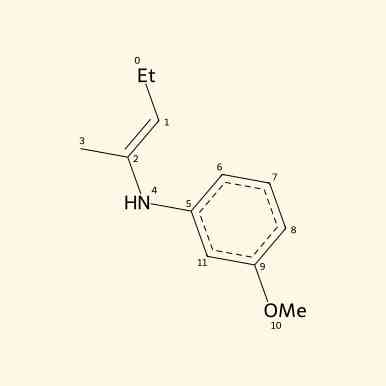 CCC=C(C)Nc1cccc(OC)c1